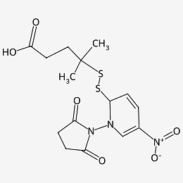 CC(C)(CCC(=O)O)SSC1C=CC([N+](=O)[O-])=CN1N1C(=O)CCC1=O